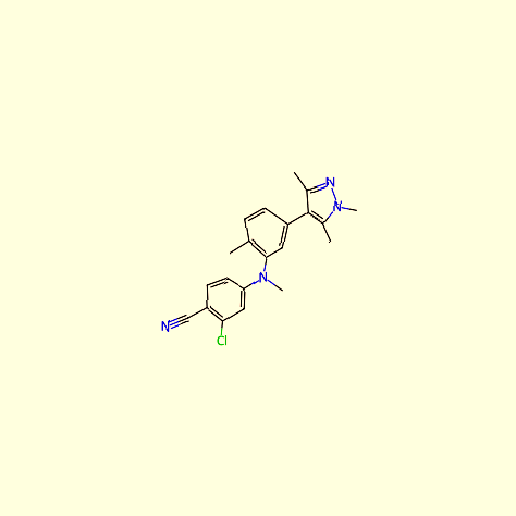 Cc1ccc(-c2c(C)nn(C)c2C)cc1N(C)c1ccc(C#N)c(Cl)c1